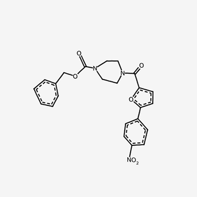 O=C(OCc1ccccc1)N1CCN(C(=O)c2ccc(-c3ccc([N+](=O)[O-])cc3)o2)CC1